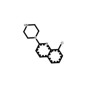 Clc1cccc2ccc(N3CCNCC3)nc12